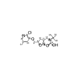 Cc1cnc(Cl)c(OCC2CC(CN(C(=O)O)C(C)(C)C)=NO2)c1